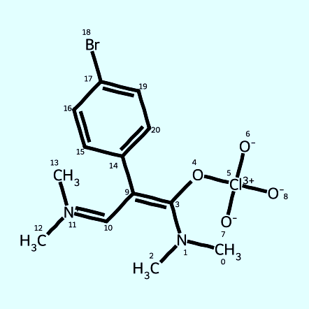 CN(C)C(O[Cl+3]([O-])([O-])[O-])=C(C=[N+](C)C)c1ccc(Br)cc1